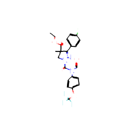 CCOC(=O)C1(C)CN(C(=O)N(C=O)c2ccc(OC(F)(F)F)cc2)N=C1c1ccc(Cl)cc1